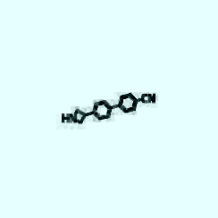 N#Cc1ccc(-c2ccc(C3CNC3)cc2)cc1